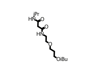 CC(C)COCCCOCCNC(=O)CC(=O)NC(C)C